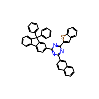 c1ccc(C2(c3ccccc3)c3ccccc3-c3ccc(-c4nc(-c5ccc6ccccc6c5)nc(-c5cc6ccccc6s5)n4)cc32)cc1